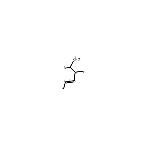 C/C=C/C(C)C(C)C=O